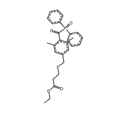 CCOC(=O)CCSCc1cc(C)c(C(=O)P(=O)(c2ccccc2)c2ccccc2)c(C)c1